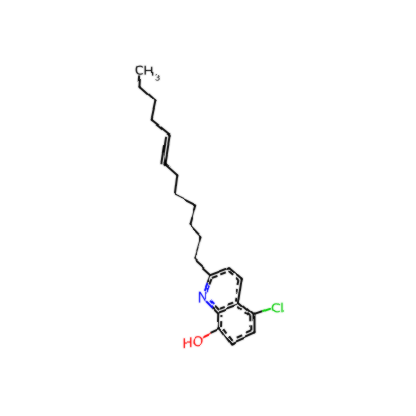 CCCCC=CCCCCCCc1ccc2c(Cl)ccc(O)c2n1